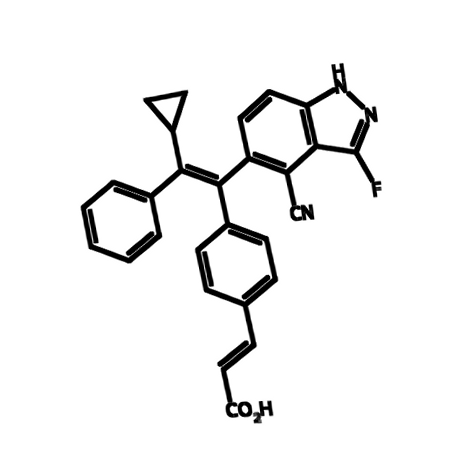 N#Cc1c(C(=C(c2ccccc2)C2CC2)c2ccc(C=CC(=O)O)cc2)ccc2[nH]nc(F)c12